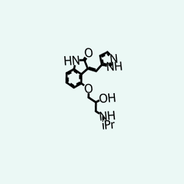 CC(C)NCC(O)COc1cccc2c1C(=Cc1ccn[nH]1)C(=O)N2